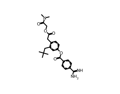 CN(C)C(=O)COC(=O)Cc1ccc(OC(=O)c2ccc(C(=N)N)cc2)cc1CC(C)(C)C